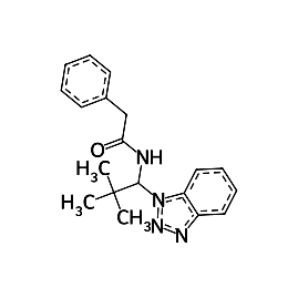 CC(C)(C)C(NC(=O)Cc1ccccc1)n1nnc2ccccc21